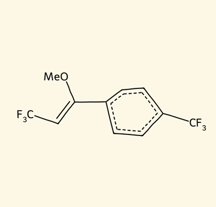 COC(=CC(F)(F)F)c1ccc(C(F)(F)F)cc1